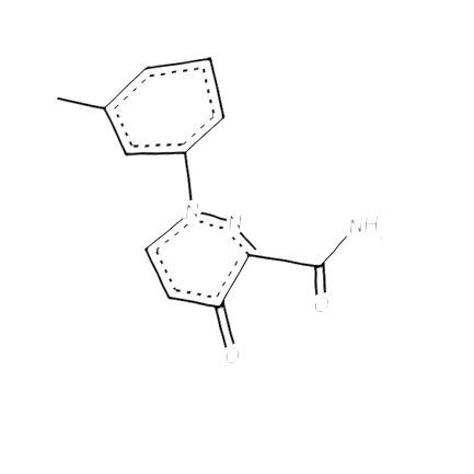 Cc1cccc(-n2ccc(=O)c(C(N)=O)n2)c1